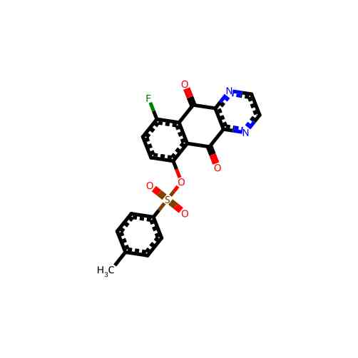 Cc1ccc(S(=O)(=O)Oc2ccc(F)c3c2C(=O)c2nccnc2C3=O)cc1